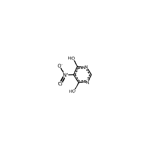 O=[N+]([O-])c1c(O)ncnc1O